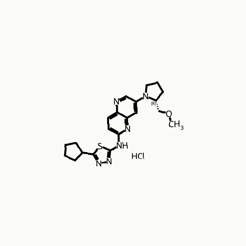 COC[C@H]1CCCN1c1cnc2ccc(Nc3nnc(C4CCCC4)s3)nc2c1.Cl